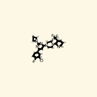 Fc1ccc(-c2cc(N3CCN(c4ncccc4C(F)(F)F)CC3)nc(N3CCC3)n2)cc1Cl